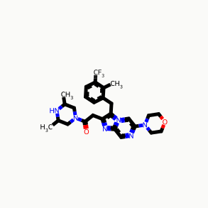 Cc1c(Cc2c(CC(=O)N3CC(C)NC(C)C3)nc3cnc(N4CCOCC4)cn23)cccc1C(F)(F)F